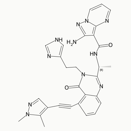 Cc1c(C#Cc2cccc3nc([C@@H](C)NC(=O)c4c(N)nn5cccnc45)n(CCc4c[nH]cn4)c(=O)c23)cnn1C